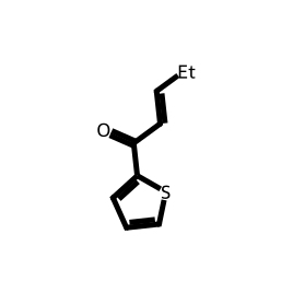 CCC=CC(=O)c1cccs1